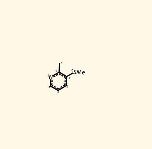 CSc1cccnc1C